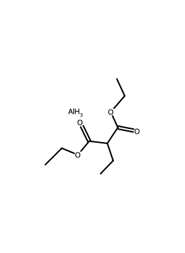 CCOC(=O)C(CC)C(=O)OCC.[AlH3]